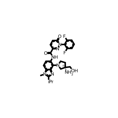 CC(C)c1nc2c(N3CC[C@@](N)(CO)C3)c(NC(=O)c3ccc(=O)n(-c4c(F)cccc4F)n3)ccc2n1C